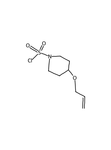 C=CCOC1CCN(S(=O)(=O)Cl)CC1